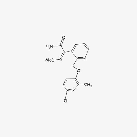 CON=C(C(N)=O)c1ccccc1COc1ccc(Cl)cc1C